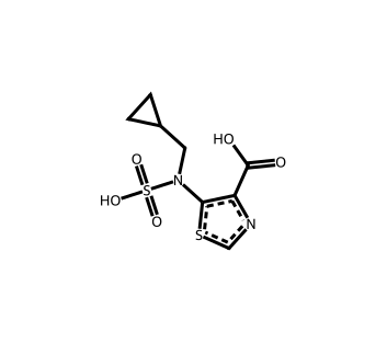 O=C(O)c1ncsc1N(CC1CC1)S(=O)(=O)O